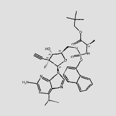 C#C[C@@]1(F)[C@H](O)[C@@H](COP(=O)(N[C@H](C)C(=O)OCC(C)(C)C)Oc2cccc3ccccc23)O[C@H]1n1cnc2c(N(C)C)nc(N)nc21